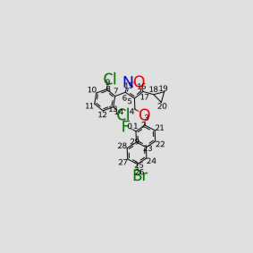 Fc1c(OCc2c(-c3c(Cl)cccc3Cl)noc2C2CC2)ccc2cc(Br)ccc12